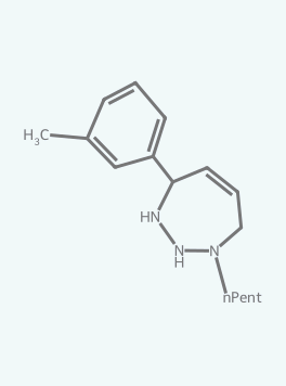 CCCCCN1CC=CC(c2cccc(C)c2)NN1